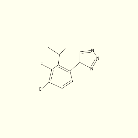 CC(C)c1c(C2C=NN=N2)ccc(Cl)c1F